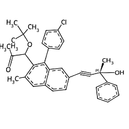 CC(=O)C(OC(C)(C)C)c1c(C)cc2ccc(C#C[C@](C)(O)c3ccccc3)cc2c1-c1ccc(Cl)cc1